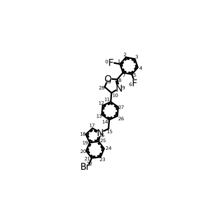 Fc1cccc(F)c1C1=NC(c2ccc(Cn3ccc4cc(Br)ccc43)cc2)CO1